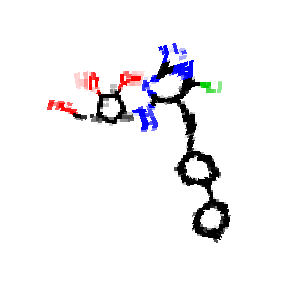 Nc1nc(Cl)c(C#Cc2ccc(-c3ccccc3)cc2)c(N[C@@H]2C[C@H](CO)[C@@H](O)[C@H]2O)n1